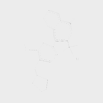 COc1cc(-c2c(C(C)(C)O)oc(=O)c3ccccc23)ccc1OC1CCCC1